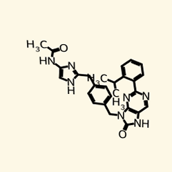 CC(=O)Nc1c[nH]c(Cc2ccc(Cn3c(=O)[nH]c4cnc(-c5ccccc5C(C)C)nc43)cc2)n1